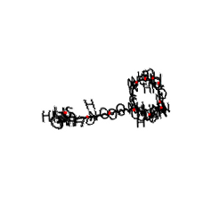 CC(C)C[C@@H]1NC(=O)[C@H]([C@H](C)O)NC(=O)CCc2cn(nn2)CCCC[C@@H](C(=O)NCCCOCCOCCOCCCNC(=O)CCCC[C@H]2SC[C@H]3NC(=O)N[C@H]32)NC(=O)C2CCCN2C(=O)CNC(=O)[C@H](Cc2c[nH]cn2)NC1=O